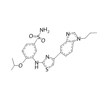 CCCn1cnc2cc(-c3csc(Nc4cc(S(N)(=O)=O)ccc4OC(C)C)n3)ccc21